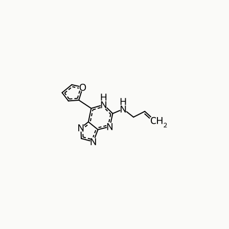 C=CCNc1nc2ncnc-2c(-c2ccco2)[nH]1